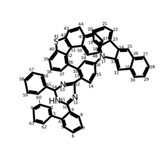 c1ccc(-c2ccccc2C2=NC(c3ccc(-n4c5ccccc5c5cc6ccccc6cc54)cc3-c3cccc4sc5ccc6ccccc6c5c34)=NC(c3ccccc3)N2)cc1